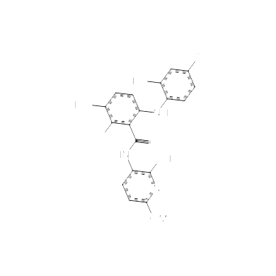 COc1ccc(NC(=O)c2c(Nc3ccc(F)cc3C)ccc(C(F)(F)F)c2F)c(C)n1